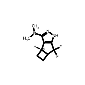 CN(C)c1n[nH]c2c1[C@H]1CCC1C2(F)F